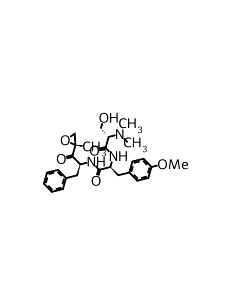 COc1ccc(C[C@H](NC(=O)[C@H](CO)N(C)C)C(=O)N[C@@H](Cc2ccccc2)C(=O)[C@@]2(C)CO2)cc1